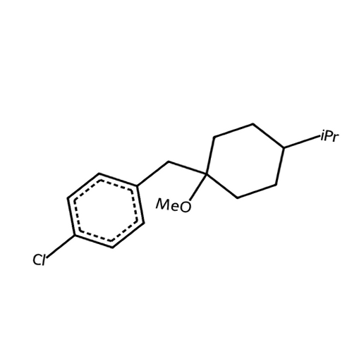 COC1(Cc2ccc(Cl)cc2)CCC(C(C)C)CC1